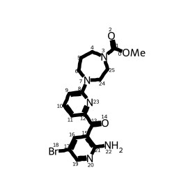 COC(=O)N1CCCN(c2cccc(C(=O)c3cc(Br)cnc3N)n2)CC1